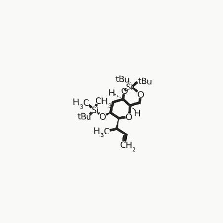 C=CC(C)[C@@H]1O[C@@H]2CO[Si](C(C)(C)C)(C(C)(C)C)O[C@@H]2C[C@@H]1O[Si](C)(C)C(C)(C)C